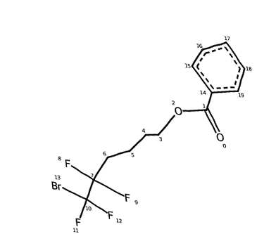 O=C(OCCCCC(F)(F)C(F)(F)Br)c1ccccc1